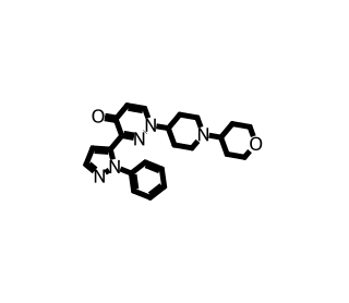 O=c1ccn(C2CCN(C3CCOCC3)CC2)nc1-c1ccnn1-c1ccccc1